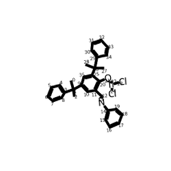 CC(C)(c1ccccc1)c1cc(C=Nc2ccccc2)c([O][Ti]([Cl])[Cl])c(C(C)(C)c2ccccc2)c1